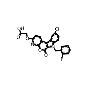 O=C(O)COc1ccc2c(n1)oc(=O)c1c2c2cc(Cl)ccc2n1Cc1ccccc1F